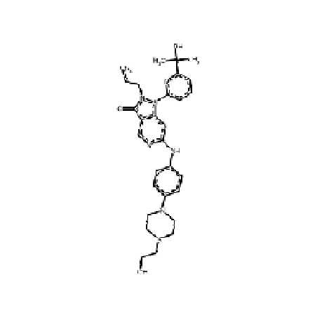 C=CCn1c(=O)c2cnc(Nc3ccc(N4CCN(CCO)CC4)cc3)nc2n1-c1cccc(C(C)(C)O)n1